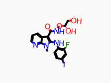 Cn1c(Nc2ccc(I)cc2F)c(C(=O)NO[C@@H](O)CO)c2cccnc21